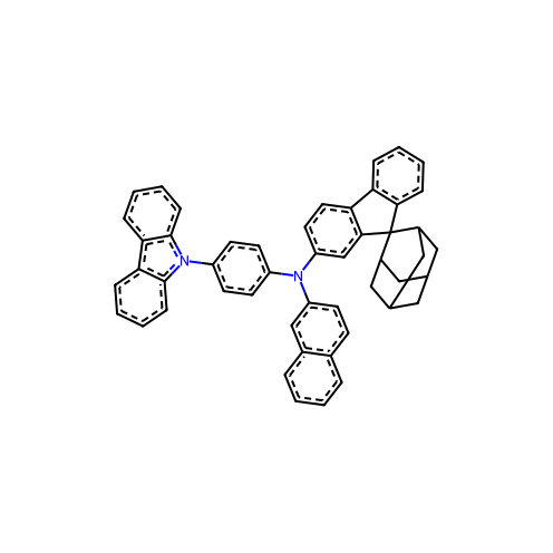 c1ccc2c(c1)-c1ccc(N(c3ccc(-n4c5ccccc5c5ccccc54)cc3)c3ccc4ccccc4c3)cc1C21C2CC3CC(C2)CC1C3